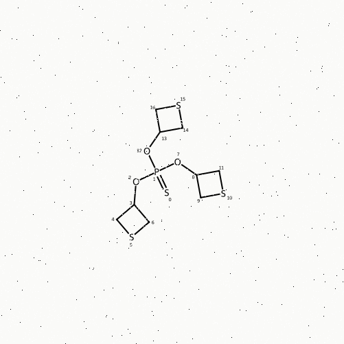 S=P(OC1CSC1)(OC1CSC1)OC1CSC1